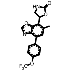 O=C1NCC(c2c(I)cc(-c3ccc(OC(F)(F)F)cc3)c3ncoc23)O1